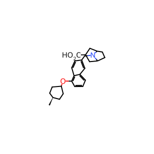 C[C@H]1CC[C@@H](Oc2cccc3cc(CN4C5CCC4CC(C(=O)O)C5)ccc23)CC1